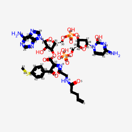 C=CCCC(=O)NCc1nc(C(=O)OC2C(O)[C@H](n3cnc4c(N)ncnc43)O[C@@H]2COP(=O)(O)OC2C[C@H](N3C=CC(N)=NC3O)O[C@@H]2COP(=O)(O)O)c(-c2ccc(SC)cc2)o1